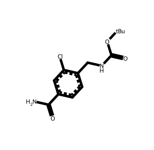 CC(C)(C)OC(=O)NCc1ccc(C(N)=O)cc1Cl